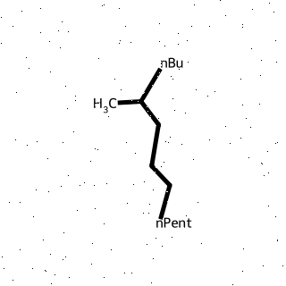 CC[CH]CC(C)CCCCCCCC